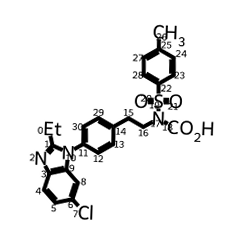 CCc1nc2ccc(Cl)cc2n1-c1ccc(CCN(C(=O)O)S(=O)(=O)c2ccc(C)cc2)cc1